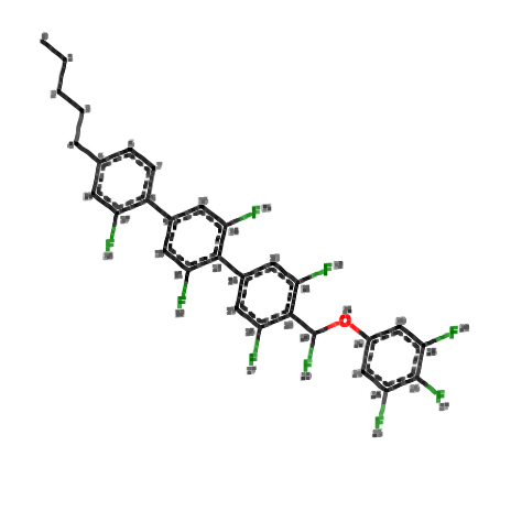 CCCCCc1ccc(-c2cc(F)c(-c3cc(F)c(C(F)Oc4cc(F)c(F)c(F)c4)c(F)c3)c(F)c2)c(F)c1